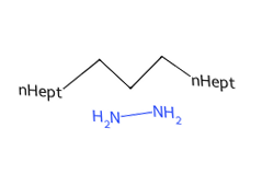 CCCCCCCCCCCCCCCCC.NN